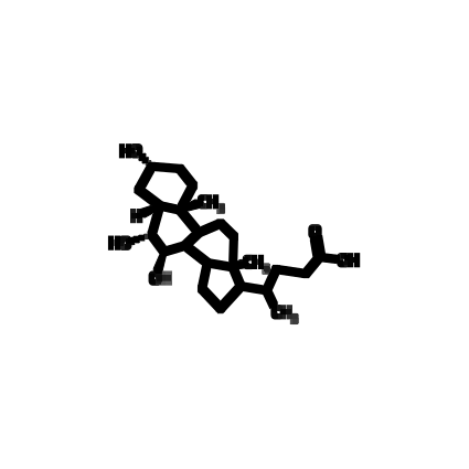 CC(CCC(=O)O)C1CCC2C3C(CC[C@]12C)[C@@]1(C)CC[C@@H](O)C[C@H]1[C@@H](O)[C@@H]3O